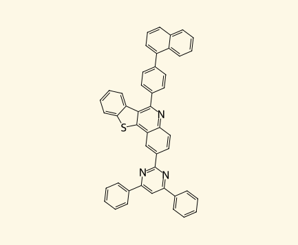 c1ccc(-c2cc(-c3ccccc3)nc(-c3ccc4nc(-c5ccc(-c6cccc7ccccc67)cc5)c5c6ccccc6sc5c4c3)n2)cc1